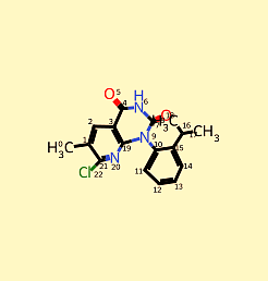 Cc1cc2c(=O)[nH]c(=O)n(-c3ccccc3C(C)C)c2nc1Cl